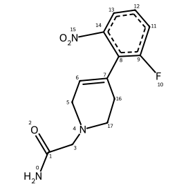 NC(=O)CN1CC=C(c2c(F)cccc2[N+](=O)[O-])CC1